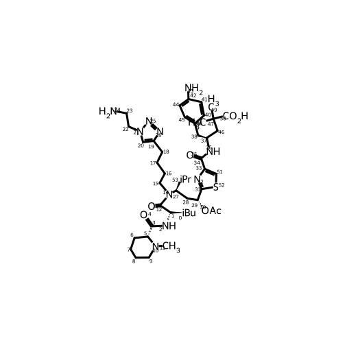 CC[C@H](C)[C@H](NC(=O)[C@H]1CCCCN1C)C(=O)N(CCCCc1cn(CCN)nn1)[C@H](C[C@@H](OC(C)=O)c1nc(C(=O)N[C@@H](Cc2ccc(N)cc2)CC(C)(C)C(=O)O)cs1)C(C)C